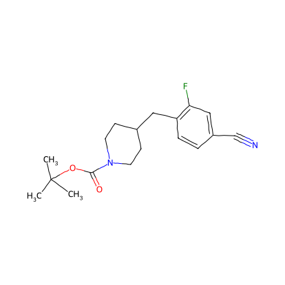 CC(C)(C)OC(=O)N1CCC(Cc2ccc(C#N)cc2F)CC1